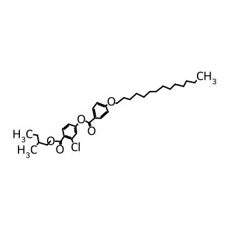 CCCCCCCCCCCCCCOc1ccc(C(=O)Oc2ccc(C(=O)OCC(C)CC)c(Cl)c2)cc1